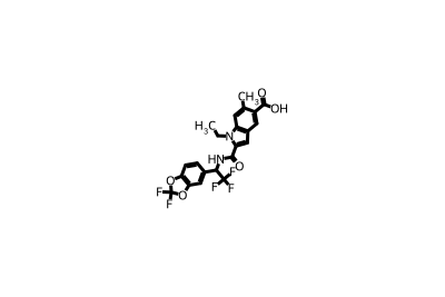 CCn1c(C(=O)NC(c2ccc3c(c2)OC(F)(F)O3)C(F)(F)F)cc2cc(C(=O)O)c(C)cc21